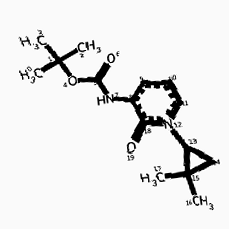 CC(C)(C)OC(=O)Nc1cccn(C2CC2(C)C)c1=O